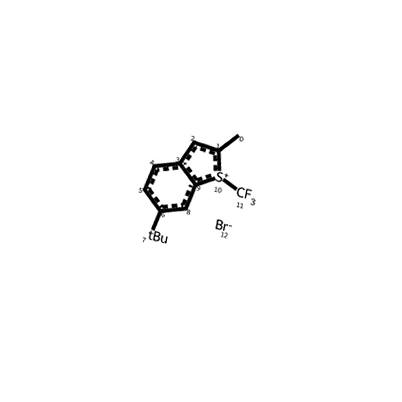 Cc1cc2ccc(C(C)(C)C)cc2[s+]1C(F)(F)F.[Br-]